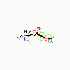 COC(C)(CCCCN(C)C)C(F)(F)C(F)(F)C(F)(F)OC(F)(Cl)C(F)(F)Cl